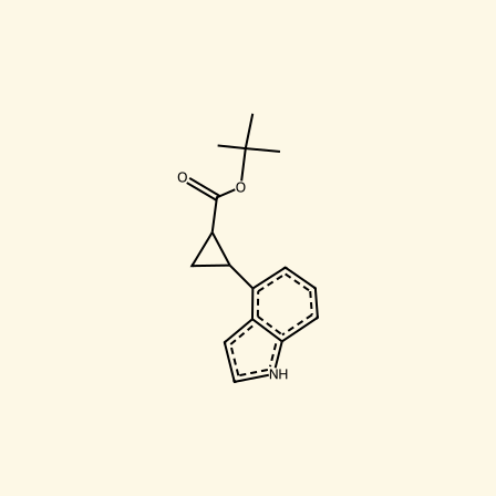 CC(C)(C)OC(=O)C1CC1c1cccc2[nH]ccc12